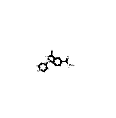 COC(=O)c1ccc2c(c1)c(C)nn2-c1ccncc1